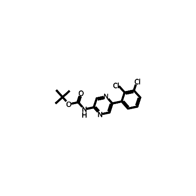 CC(C)(C)OC(=O)Nc1cnc(-c2cccc(Cl)c2Cl)cn1